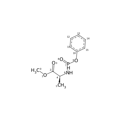 COC(=O)[C@H](C)N[PH](=O)Oc1ccccc1